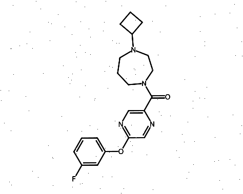 O=C(c1cnc(Oc2cccc(F)c2)cn1)N1CCCN(C2CCC2)CC1